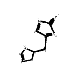 S=C1N=CC(CC2CC=CS2)=N1